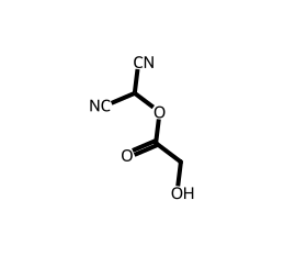 N#CC(C#N)OC(=O)CO